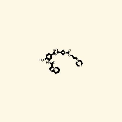 Cc1ccc(-c2noc(C3CN(C(=O)OCCCN4CCOCC4)C3)n2)cc1NC(=O)c1cnc2ccccn12